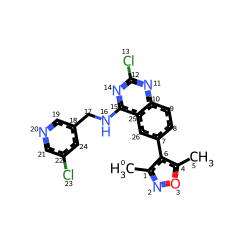 Cc1noc(C)c1-c1ccc2nc(Cl)nc(NCc3cncc(Cl)c3)c2c1